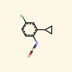 O=C=Nc1ccc(Cl)cc1C1CC1